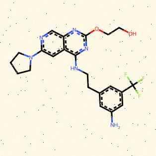 Nc1cc(CCNc2nc(OCCO)nc3cnc(N4CCCC4)cc23)cc(C(F)(F)F)c1